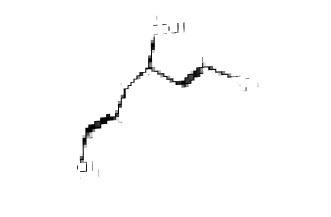 CC=CC(C/C=C/C)C(=O)O